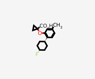 Cc1ccc([C@H]2CC[C@@H](F)CC2)c(OC2(C(=O)O)CC2)c1